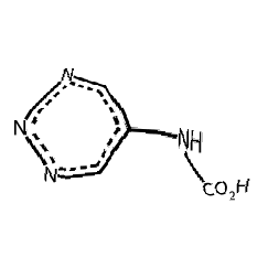 O=C(O)Nc1cnnnc1